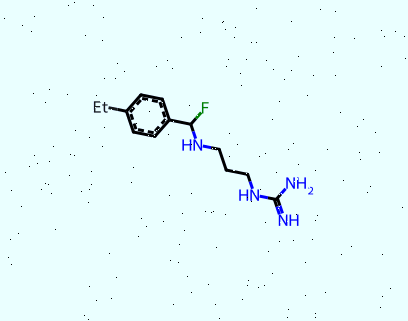 CCc1ccc(C(F)NCCCNC(=N)N)cc1